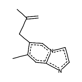 C=C(C)Cc1cn2ccnc2cc1C